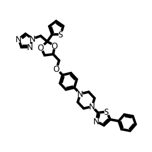 c1ccc(-c2cnc(N3CCN(c4ccc(OCC5COC(Cn6cncn6)(c6cccs6)O5)cc4)CC3)s2)cc1